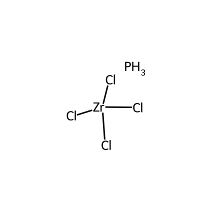 P.[Cl][Zr]([Cl])([Cl])[Cl]